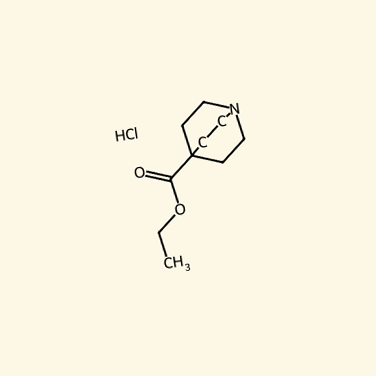 CCOC(=O)C12CCN(CC1)CC2.Cl